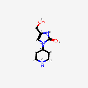 O=C1[N]C(CO)=CN1C1CCNCC1